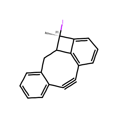 C[C@]1(I)c2cccc3c2C1Cc1ccccc1C#C3